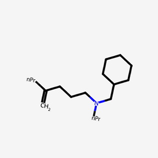 C=C(CCC)CCCN(CCC)CC1CCCCC1